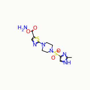 Cc1nc(S(=O)(=O)N2CCN(c3ncc(C(=O)ON)s3)CC2)c[nH]1